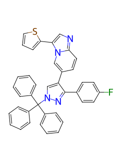 Fc1ccc(-c2nn(C(c3ccccc3)(c3ccccc3)c3ccccc3)cc2-c2ccc3ncc(-c4cccs4)n3c2)cc1